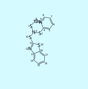 CC(C)(C)SN(Sc1ccccn1)Sc1nc2ccccc2s1